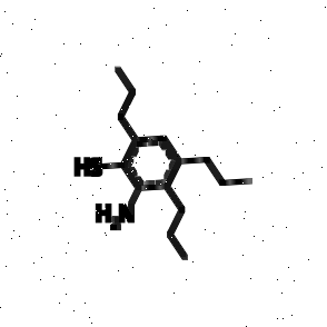 CCCc1cc(CCC)c(CCC)c(N)c1S